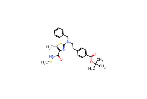 CSNC(=O)c1nc(N(CCc2ccc(C(=O)OC(C)(C)C)cc2)Cc2ccccc2)sc1C